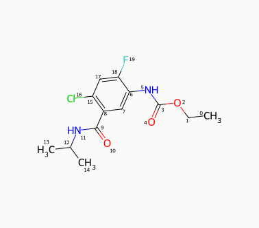 CCOC(=O)Nc1cc(C(=O)NC(C)C)c(Cl)cc1F